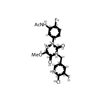 COc1nn(-c2ccc(F)c(NC(C)=O)c2)c(=O)n(Cc2cnc(Cl)c(F)c2)c1=O